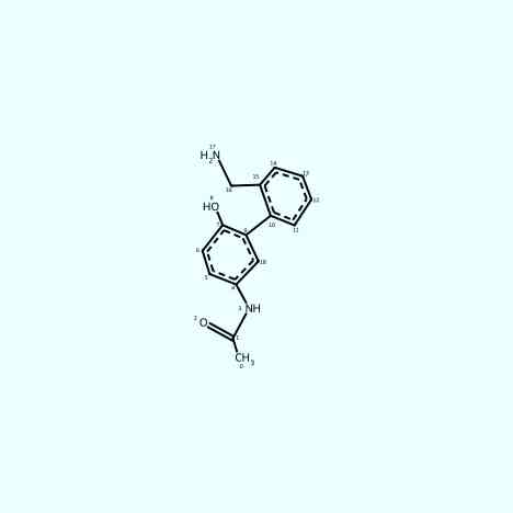 CC(=O)Nc1ccc(O)c(-c2cc[c]cc2CN)c1